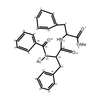 COC(=O)C(Cc1ccccc1)NC(=O)C(Cc1ccccc1)N(C(C)=O)C(=O)c1ccccc1